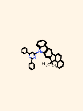 CC1(C)c2cc3c(cc2-c2ccc4ccccc4c21)c1ccccc1n3-c1cc(-c2ccccc2)nc(-c2ccccc2)n1